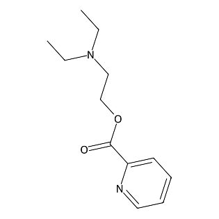 CCN(CC)CCOC(=O)c1ccccn1